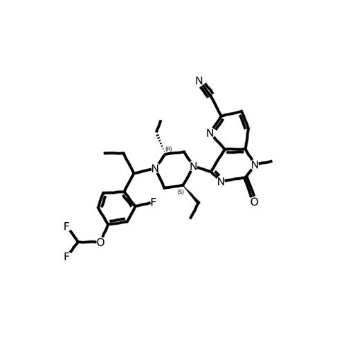 CCC(c1ccc(OC(F)F)cc1F)N1C[C@H](CC)N(c2nc(=O)n(C)c3ccc(C#N)nc23)C[C@H]1CC